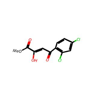 COC(=O)C(O)=CC(=O)c1ccc(Cl)cc1Cl